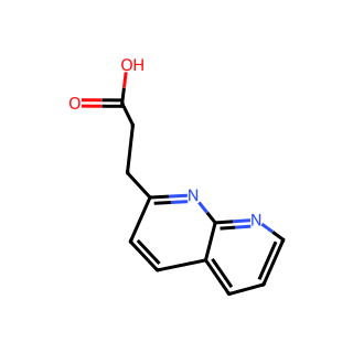 O=C(O)CCc1ccc2cccnc2n1